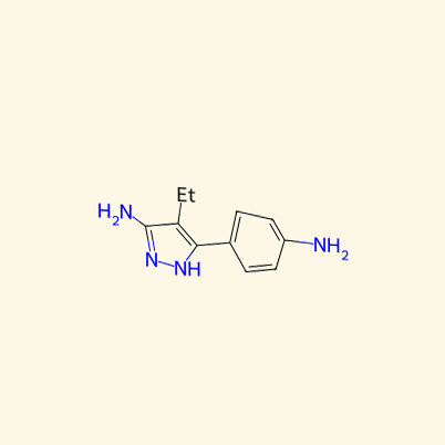 CCc1c(N)n[nH]c1-c1ccc(N)cc1